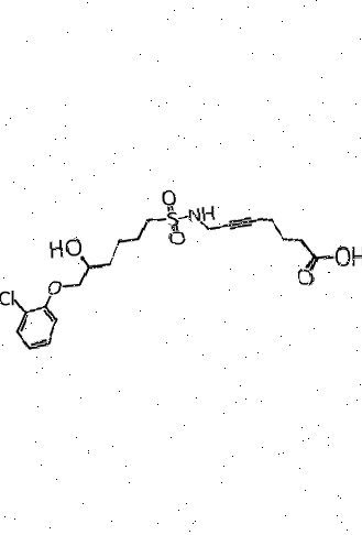 O=C(O)CCCC#CCNS(=O)(=O)CCCCC(O)COc1ccccc1Cl